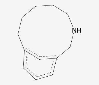 c1cc2cc(c1)CNCCCCC2